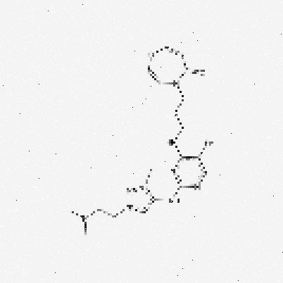 Cc1nn(CCN(C)C)cc1Nc1ncc(Br)c(NCCCN2C=COC=CC2=O)n1